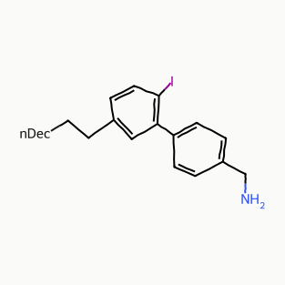 CCCCCCCCCCCCc1ccc(I)c(-c2ccc(CN)cc2)c1